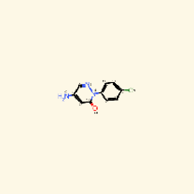 Nc1cnn(-c2ccc(Cl)cc2)c(=O)c1